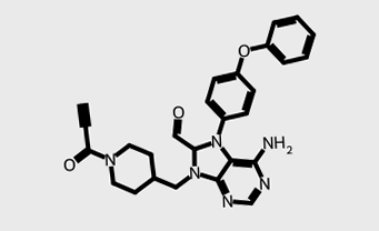 C#CC(=O)N1CCC(CN2c3ncnc(N)c3N(c3ccc(Oc4ccccc4)cc3)C2C=O)CC1